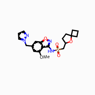 COc1cc(Cn2cccn2)cc2onc(NS(=O)(=O)CC3CCC4(CCC4)O3)c12